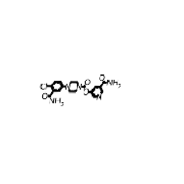 NC(=O)c1cncc(OC(=O)N2CCN(c3ccc(Cl)c(C(N)=O)c3)CC2)c1